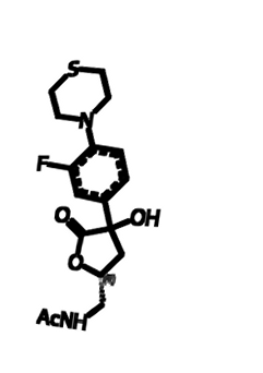 CC(=O)NC[C@H]1CC(O)(c2ccc(N3CCSCC3)c(F)c2)C(=O)O1